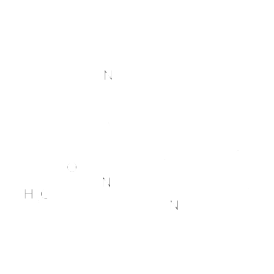 CON=C(C#N)c1ccccn1